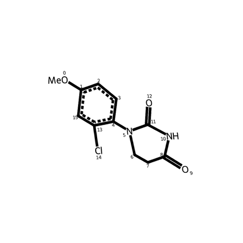 COc1ccc(N2CCC(=O)NC2=O)c(Cl)c1